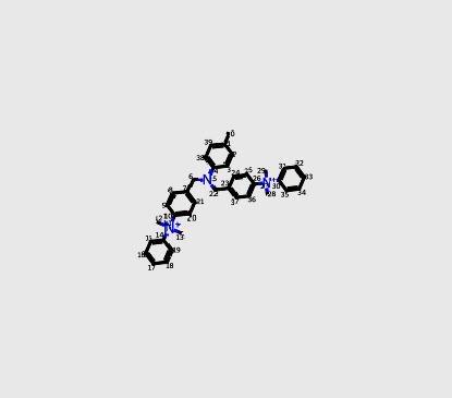 [CH2]c1ccc(N(Cc2ccc([N+](C)(C)c3ccccc3)cc2)Cc2ccc([N+](C)(C)c3ccccc3)cc2)cc1